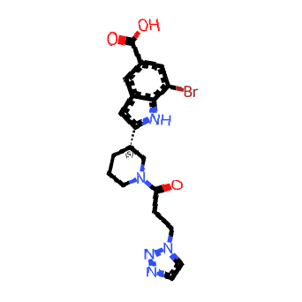 O=C(O)c1cc(Br)c2[nH]c([C@H]3CCCN(C(=O)CCn4ccnn4)C3)cc2c1